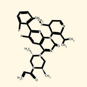 C=CC(=O)N1C[C@H](C)N(c2nc(=O)n(C3=C(C(C)C)N=CCC3SC)c3nc(-c4c(O)cccc4F)c(F)cc23)C[C@H]1C